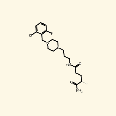 C[C@@H](C[CH]C(=O)NCCCN1CCN(Cc2c(F)cccc2Cl)CC1)C(N)=O